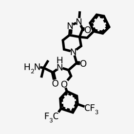 CN1N=C2CCN(C(=O)C(COc3cc(C(F)(F)F)cc(C(F)(F)F)c3)NC(=O)C(C)(C)N)CC2(Cc2ccccc2)C1=O